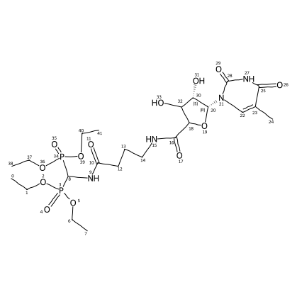 CCOP(=O)(OCC)C(NC(=O)CCCNC(=O)C1O[C@@H](n2cc(C)c(=O)[nH]c2=O)[C@@H](O)C1O)P(=O)(OCC)OCC